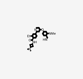 CCc1cc(-c2cc(Oc3ccc(C=N)c(NC)c3)ccn2)ccc1C(=O)NC1CC(N(C)C)C1